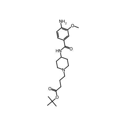 COc1cc(C(=O)NC2CCN(CCCC(=O)OC(C)(C)C)CC2)ccc1N